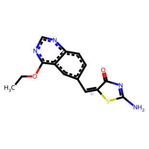 CCOc1ncnc2ccc(/C=C3/SC(N)=NC3=O)cc12